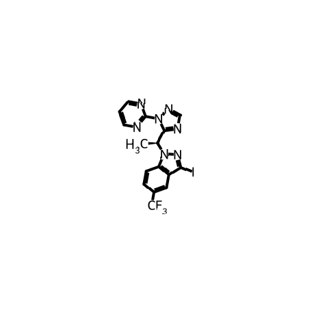 C[C@@H](c1ncnn1-c1ncccn1)n1nc(I)c2cc(C(F)(F)F)ccc21